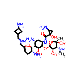 CN[C@@H]1[C@@H](O)[C@@H](O[C@H]2[C@H](NC(=O)C3(O)CC3N)C[C@H](N)C([C@H]3OC(CNCC4CC(N)C4)=CC[C@H]3N)[C@@H]2O)OC[C@]1(C)O